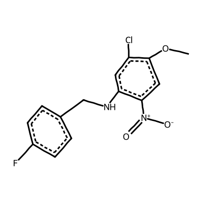 COc1cc([N+](=O)[O-])c(NCc2ccc(F)cc2)cc1Cl